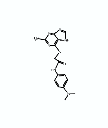 CN(C)c1ccc(NC(=O)CSc2nc(N)nc3nc[nH]c23)cc1